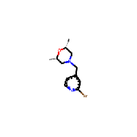 C[C@@H]1CN(Cc2ccnc(Br)c2)C[C@H](C)O1